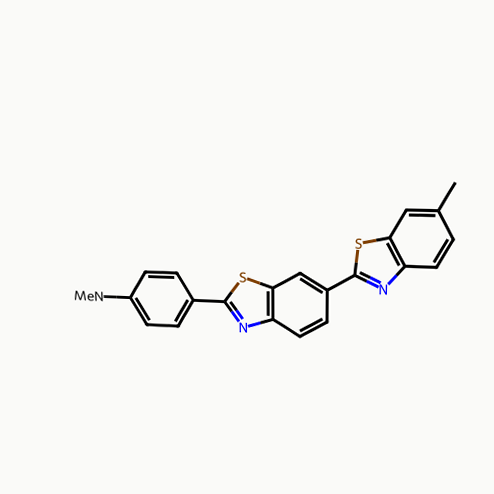 CNc1ccc(-c2nc3ccc(-c4nc5ccc(C)cc5s4)cc3s2)cc1